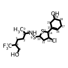 CC(CCC(CO)C(F)(F)F)NSC1CC(Cl)C(C2=CCCC(O)C2)S1